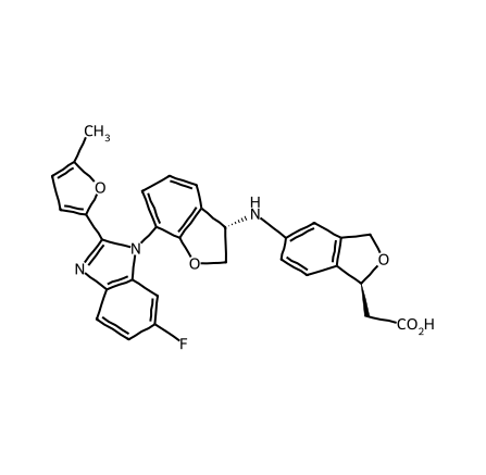 Cc1ccc(-c2nc3ccc(F)cc3n2-c2cccc3c2OC[C@H]3Nc2ccc3c(c2)CO[C@H]3CC(=O)O)o1